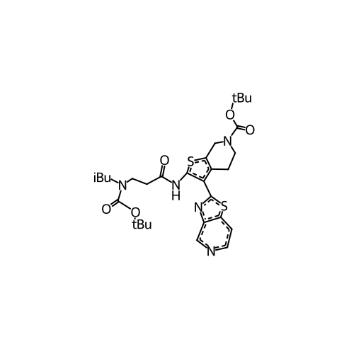 CCC(C)N(CCC(=O)Nc1sc2c(c1-c1nc3cnccc3s1)CCN(C(=O)OC(C)(C)C)C2)C(=O)OC(C)(C)C